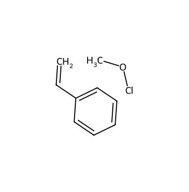 C=Cc1ccccc1.COCl